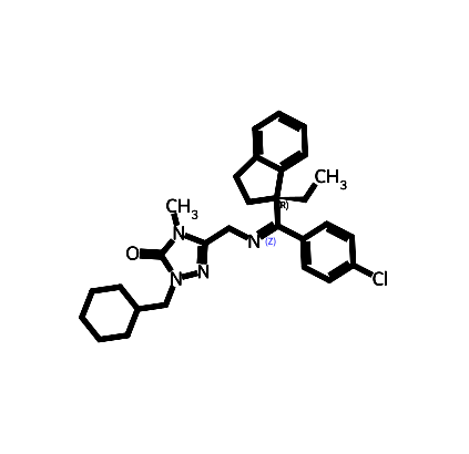 CC[C@@]1(/C(=N\Cc2nn(CC3CCCCC3)c(=O)n2C)c2ccc(Cl)cc2)CCc2ccccc21